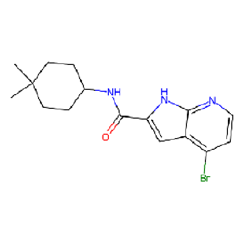 CC1(C)CCC(NC(=O)c2cc3c(Br)ccnc3[nH]2)CC1